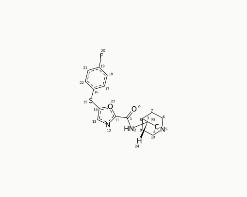 O=C(N[C@H]1CN2CCC1CC2)c1ncc(Sc2ccc(F)cc2)o1